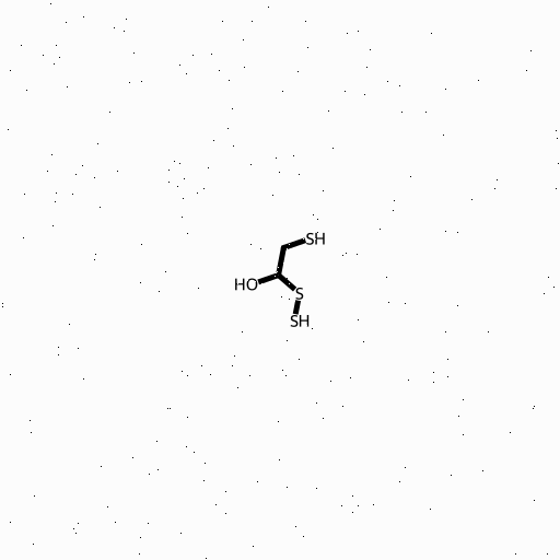 OC(CS)SS